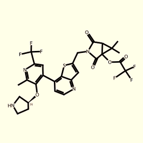 Cc1nc(C(F)(F)F)cc(-c2ccnc3cc(CN4C(=O)C5C(C)(C)C5(OC(=O)C(F)(F)F)C4=O)sc23)c1O[C@H]1CCNC1